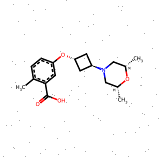 Cc1ccc(O[C@H]2C[C@H](N3C[C@@H](C)O[C@@H](C)C3)C2)cc1C(=O)O